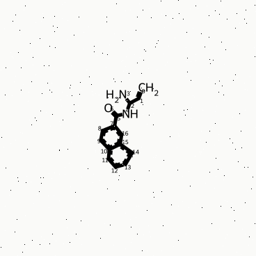 C=CC(N)NC(=O)c1ccc2ccccc2c1